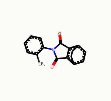 O=C1c2c3ccc(c2C(=O)N1c1ccccc1C(F)(F)F)CC3